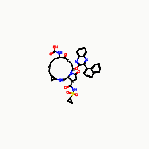 O=C(O)NC1CCCCC2=C(C2)/N=C\C2[C@@H](C(=O)NS(=O)(=O)C3CC3)CC(=O)N2[C@H](Oc2nc3ccccc3nc2-c2cccc3ccccc23)CCC1=O